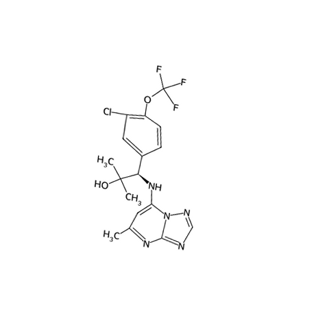 Cc1cc(N[C@H](c2ccc(OC(F)(F)F)c(Cl)c2)C(C)(C)O)n2ncnc2n1